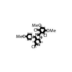 COc1cc(OC)c(Cl)c(-c2nc(N3CCC(OC)CC3)c3cc(Cl)ncc3n2)c1Cl